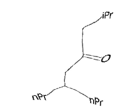 CCCC(CCC)CC(=O)CC(C)C